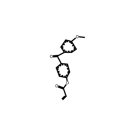 C=CC(=O)Oc1ccc(C(=O)c2ccc(OC)cc2)cc1